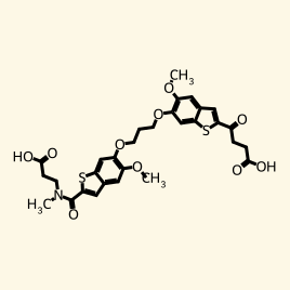 COc1cc2cc(C(=O)CCC(=O)O)sc2cc1OCCCOc1cc2sc(C(=O)N(C)CCC(=O)O)cc2cc1OC